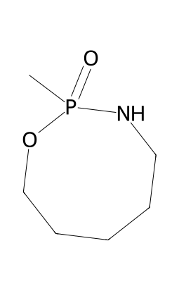 CP1(=O)NCCCCCO1